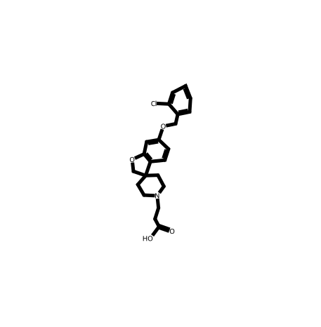 O=C(O)CCN1CCC2(CC1)COc1cc(OCc3ccccc3Cl)ccc12